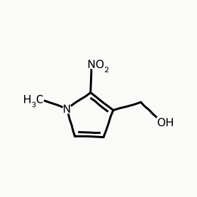 Cn1ccc(CO)c1[N+](=O)[O-]